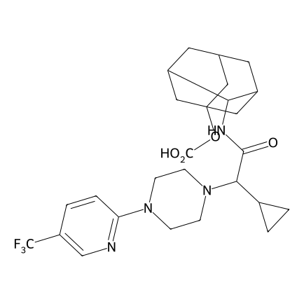 O=C(O)OC12CC3CC(C1)C(NC(=O)C(C1CC1)N1CCN(c4ccc(C(F)(F)F)cn4)CC1)C(C3)C2